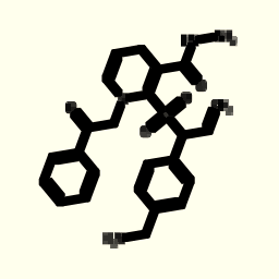 C=CC(c1ccc(CN)cc1)S(=O)(=O)C1=C(C(=O)NN)CC=CN1CC(=O)c1ccccc1